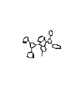 Ic1ccc2c(-c3cc(-c4ccccc4)cc(-c4ccccc4)c3)c3ccccc3c(-c3cc(-c4ccccc4)cc(-c4ccccc4)c3)c2c1